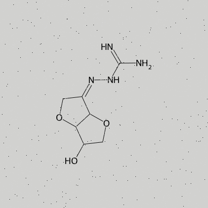 N=C(N)NN=C1COC2C(O)COC12